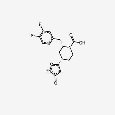 O=C(O)N1CC[C@H](c2cc(=O)[nH]o2)C[C@@H]1Cc1ccc(F)c(F)c1